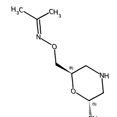 CC(C)=NOC[C@H]1CNC[C@H](C)O1